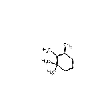 [CH2]C1C(C)CCCC1(C)C